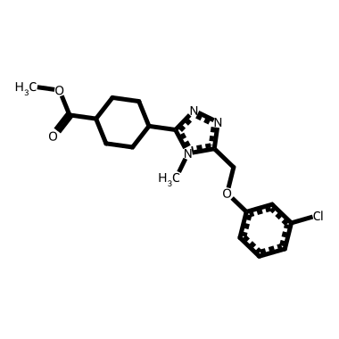 COC(=O)C1CCC(c2nnc(COc3cccc(Cl)c3)n2C)CC1